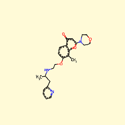 Cc1c(OCCNC(C)Cc2ccccn2)ccc2c(=O)cc(N3CCOCC3)oc12